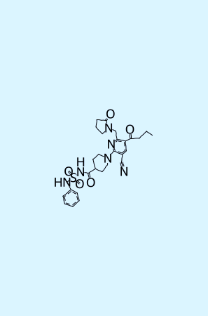 CCCC(=O)c1cc(C#N)c(N2CCC(C(=O)NS(=O)(=O)Nc3ccccc3)CC2)nc1CN1CCCC1=O